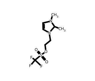 CC1N(C)C=CN1CCOS(=O)(=O)C(F)(F)F